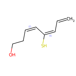 C=C/C=C(S)\C=C/CCO